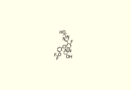 CC(C)(O)c1ncc(-c2cc3c(cc2F)nc2n3[C@@H](c3c(Cl)cccc3OC(F)F)CC2O)cn1